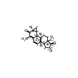 C[C@]12CC[C@H]3[C@@H](C=CC4=C(N)C(=O)[C@H]5CC5[C@@]43C)[C@@H]1C[C@H](F)C2=O